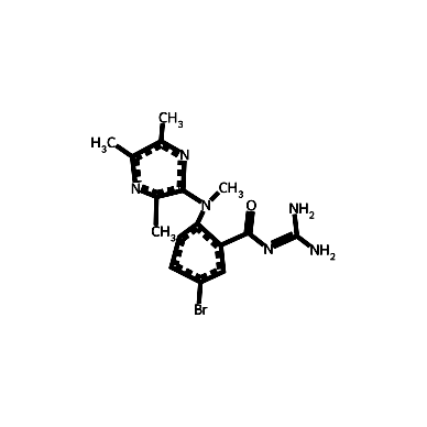 Cc1nc(C)c(N(C)c2ccc(Br)cc2C(=O)N=C(N)N)nc1C